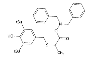 CC(SCc1cc(C(C)(C)C)c(O)c(C(C)(C)C)c1)C(=O)ON(Cc1ccccc1)Cc1ccccc1